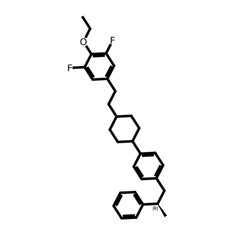 CCOc1c(F)cc(CCC2CCC(c3ccc(C[C@@H](C)c4ccccc4)cc3)CC2)cc1F